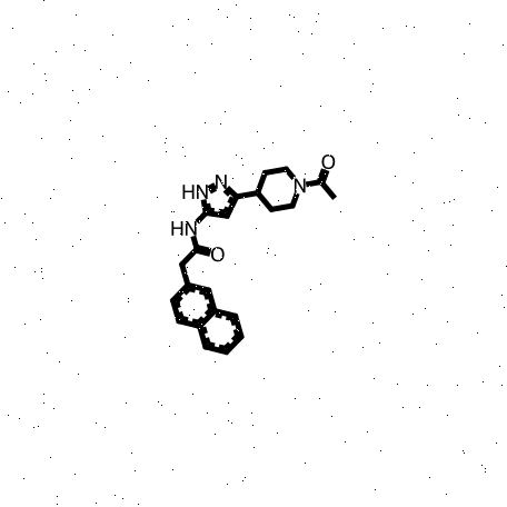 CC(=O)N1CCC(c2cc(NC(=O)Cc3ccc4ccccc4c3)[nH]n2)CC1